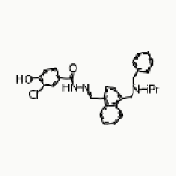 CC(C)N(Cc1ccccc1)Cc1ccc(/C=N/NC(=O)c2ccc(O)c(Cl)c2)c2ccccc12